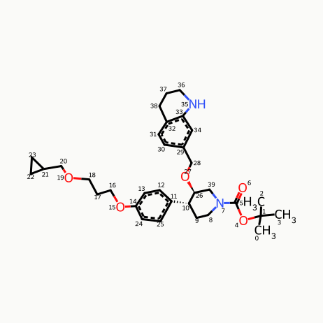 CC(C)(C)OC(=O)N1CC[C@H](c2ccc(OCCCOCC3CC3)cc2)[C@@H](OCc2ccc3c(c2)NCCC3)C1